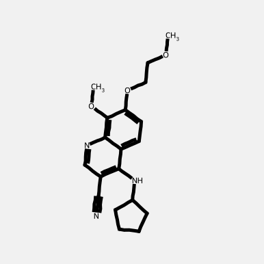 COCCOc1ccc2c(NC3CCCC3)c(C#N)cnc2c1OC